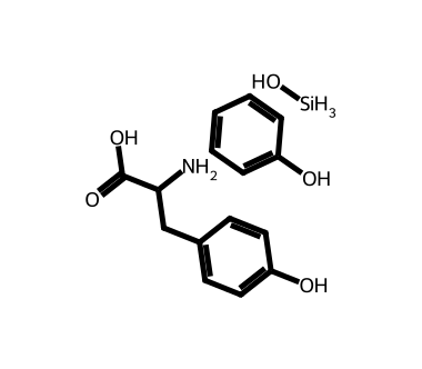 NC(Cc1ccc(O)cc1)C(=O)O.O[SiH3].Oc1ccccc1